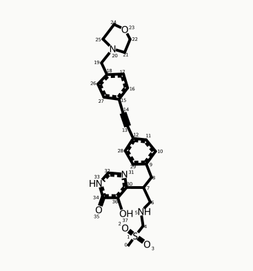 CS(=O)(=O)CNCC(Cc1ccc(C#Cc2ccc(CN3CCOCC3)cc2)cc1)c1nc[nH]c(=O)c1O